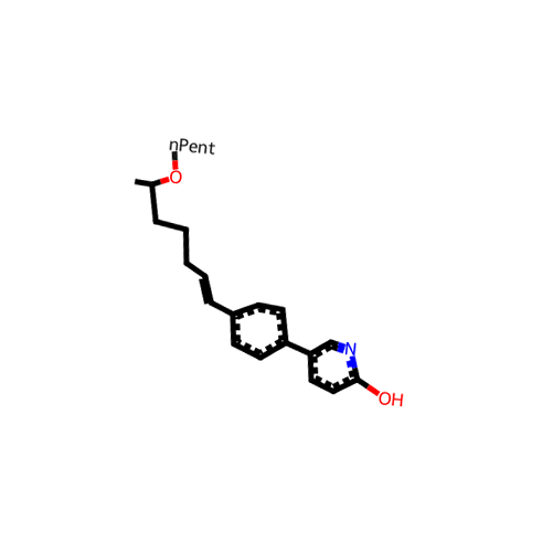 CCCCCOC(C)CCCC=Cc1ccc(-c2ccc(O)nc2)cc1